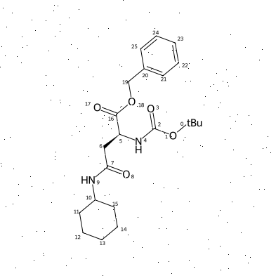 CC(C)(C)OC(=O)N[C@@H](CC(=O)NC1CCCCC1)C(=O)OCc1ccccc1